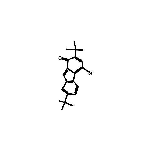 CC(C)(C)C1=CC(Br)=C2C(=Cc3cc(C(C)(C)C)ccc32)C1=O